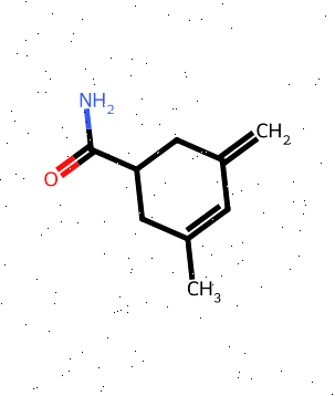 C=C1C=C(C)CC(C(N)=O)C1